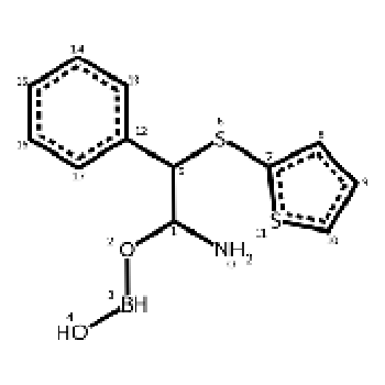 NC(OBO)C(Sc1cccs1)c1ccccc1